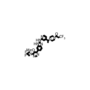 COc1c(-c2ccc3nc(Nc4cc(C(C)N5CCN(C(=O)CC(F)(F)F)CC5)ccn4)[nH]c3c2)ncnc1N1CC(F)(F)C1